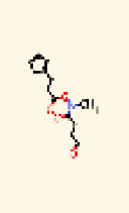 CN(OC(=O)CCC1=CC=CC1)C(=O)CCC=O